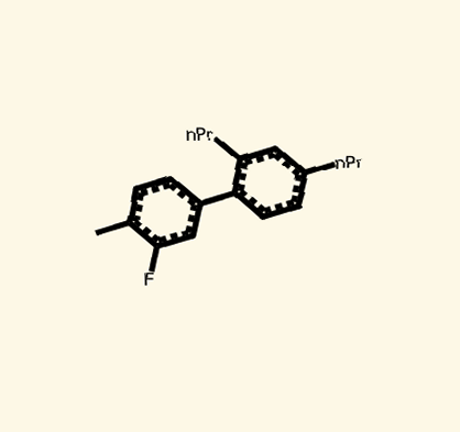 CCCc1ccc(-c2ccc(C)c(F)c2)c(CCC)c1